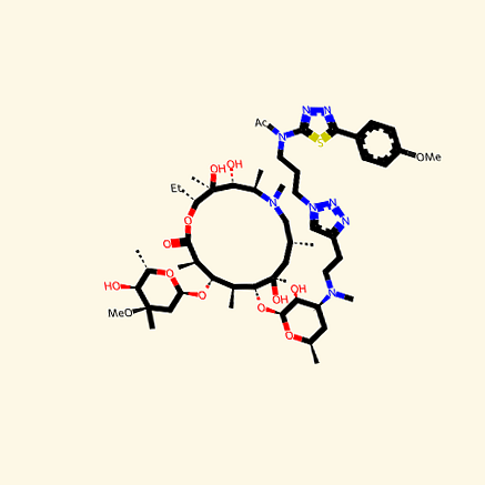 CC[C@H]1OC(=O)[C@H](C)[C@@H](O[C@H]2C[C@@](C)(OC)[C@@H](O)[C@H](C)O2)[C@H](C)[C@@H](O[C@@H]2O[C@H](C)C[C@H](N(C)CCc3cn(CCCN(C(C)=O)c4nnc(-c5ccc(OC)cc5)s4)nn3)[C@H]2O)[C@](C)(O)C[C@@H](C)CN(C)[C@H](C)[C@@H](O)[C@]1(C)O